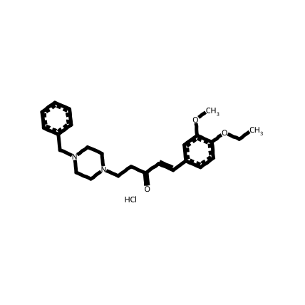 CCOc1ccc(C=CC(=O)CCN2CCN(Cc3ccccc3)CC2)cc1OC.Cl